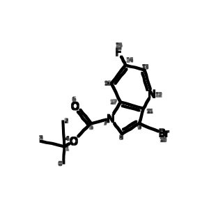 CC(C)(C)OC(=O)n1cc(Br)c2ncc(F)cc21